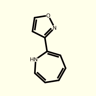 C1=CC=C(c2ccon2)NC=C1